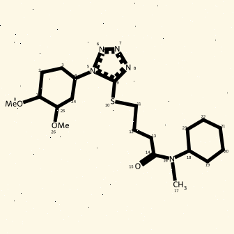 COC1CCC(n2nnnc2SCCCC(=O)N(C)C2CCCCC2)CC1OC